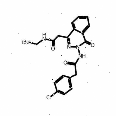 CC(C)(C)CNC(=O)Cc1nn(NC(=O)Cc2ccc(Cl)cc2)c(=O)c2ccccc12